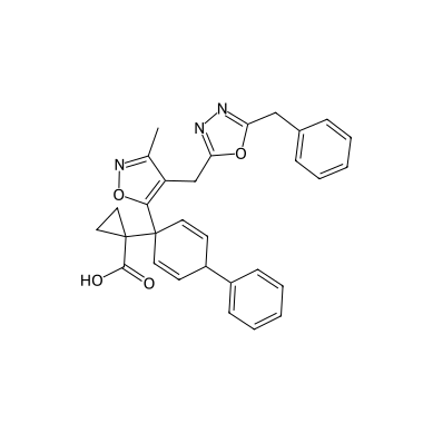 Cc1noc(C2(C3(C(=O)O)CC3)C=CC(c3ccccc3)C=C2)c1Cc1nnc(Cc2ccccc2)o1